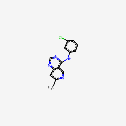 Cc1cc2ncnc(Nc3cccc(Cl)c3)c2cn1